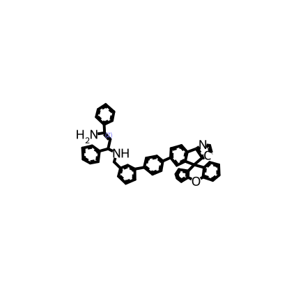 N/C(=C\C(NCc1cccc(-c2ccc(-c3ccc4c(c3)C3(c5ccccc5Oc5ccccc53)c3cccnc3-4)cc2)c1)c1ccccc1)c1ccccc1